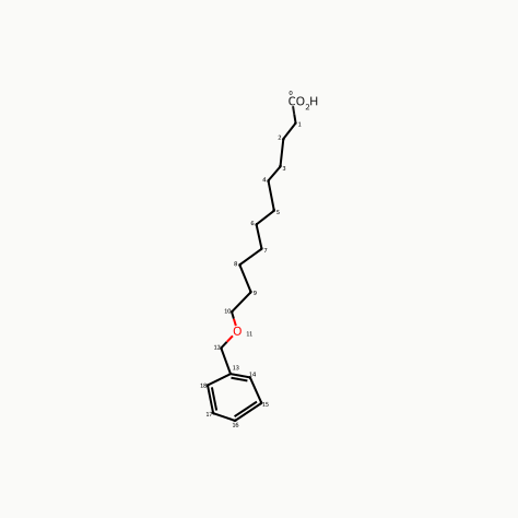 O=C(O)CCCCCCCCCCOCc1ccccc1